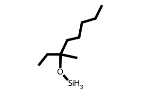 CCCCCC(C)(CC)O[SiH3]